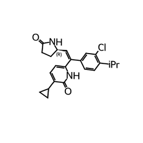 CC(C)c1ccc(C(=C[C@H]2CCC(=O)N2)c2ccc(C3CC3)c(=O)[nH]2)cc1Cl